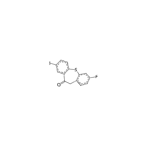 O=C1Cc2ccc(F)cc2Sc2ccc(I)cc21